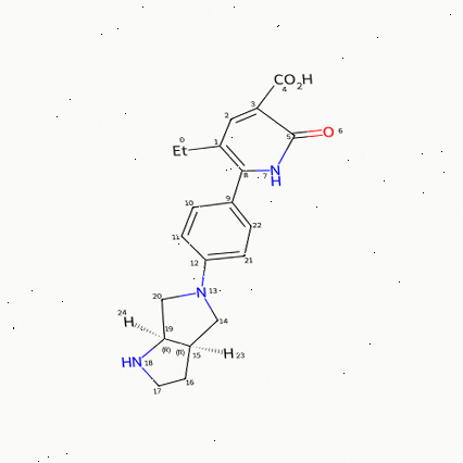 CCc1cc(C(=O)O)c(=O)[nH]c1-c1ccc(N2C[C@H]3CCN[C@H]3C2)cc1